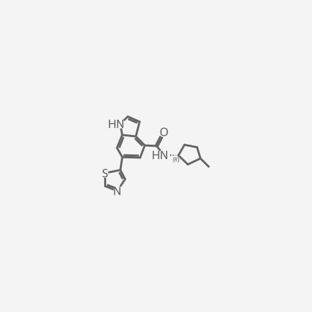 CC1CC[C@@H](NC(=O)c2cc(-c3cncs3)cc3[nH]ccc23)C1